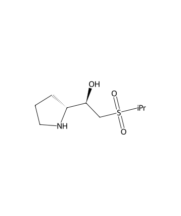 CC(C)S(=O)(=O)C[C@H](O)[C@H]1CCCN1